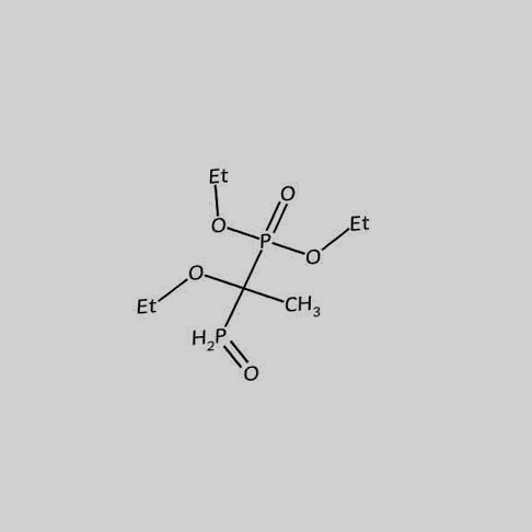 CCOC(C)([PH2]=O)P(=O)(OCC)OCC